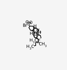 CCC[C@@H](C)[C@H]1CC[C@H]2[C@@H]3CC[C@@H]4CC(S(=O)(=O)Br)CC[C@]4(C)[C@H]3CC[C@]12C